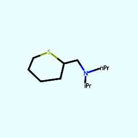 CCCN(CC1CCCCS1)C(C)C